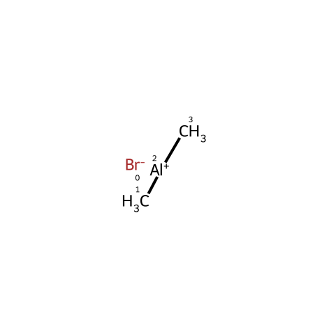 [Br-].[CH3][Al+][CH3]